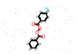 O=C(OOC(=O)c1ccc([18F])cc1)c1ccccc1